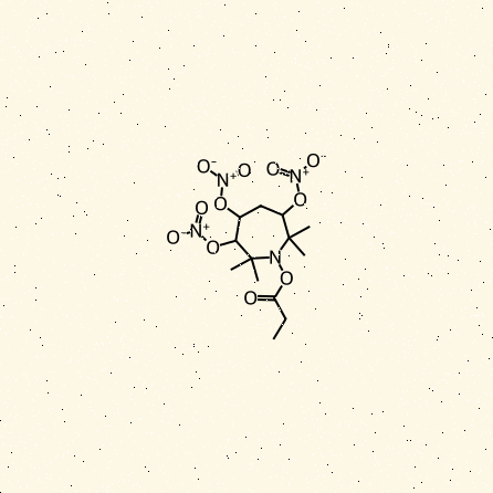 CCC(=O)ON1C(C)(C)C(O[N+](=O)[O-])CC(O[N+](=O)[O-])C(O[N+](=O)[O-])C1(C)C